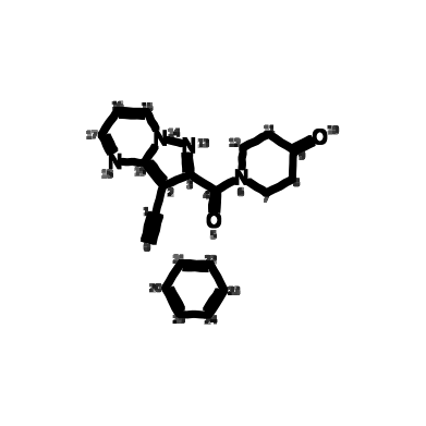 C#Cc1c(C(=O)N2CCC(=O)CC2)nn2cccnc12.c1ccccc1